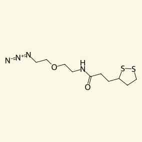 [N-]=[N+]=NCCOCCNC(=O)CCC1CCSS1